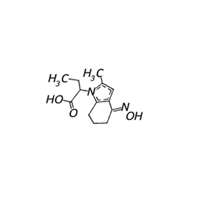 CCC(C(=O)O)n1c(C)cc2c1CCCC2=NO